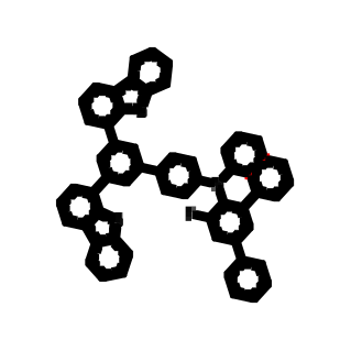 Fc1cc(-c2ccccc2)cc(-c2ccccc2)c1N(c1ccccc1)c1ccc(-c2cc(-c3cccc4c3sc3ccccc34)cc(-c3cccc4c3sc3ccccc34)c2)cc1